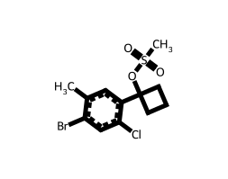 Cc1cc(C2(OS(C)(=O)=O)CCC2)c(Cl)cc1Br